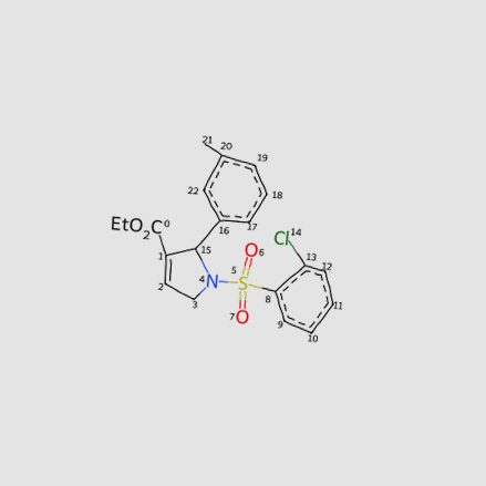 CCOC(=O)C1=CCN(S(=O)(=O)c2ccccc2Cl)C1c1cccc(C)c1